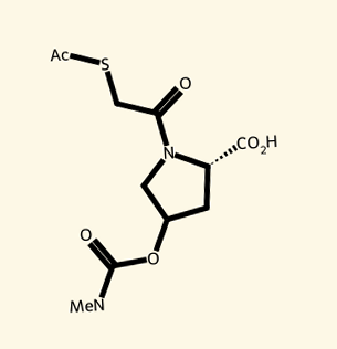 CNC(=O)OC1C[C@@H](C(=O)O)N(C(=O)CSC(C)=O)C1